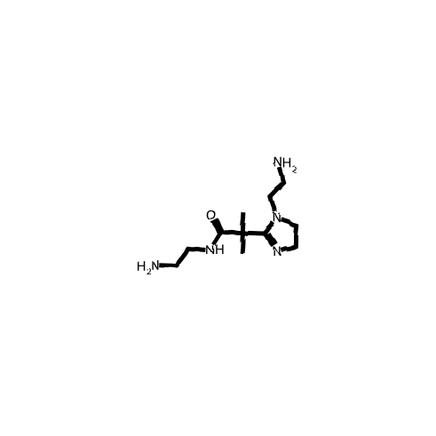 CC(C)(C(=O)NCCN)C1=NCCN1CCN